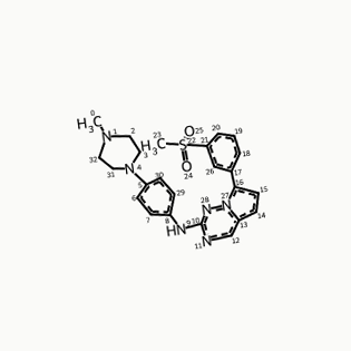 CN1CCN(c2ccc(Nc3ncc4ccc(-c5cccc(S(C)(=O)=O)c5)n4n3)cc2)CC1